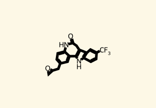 O=C1Cc2c([nH]c3ccc(C(F)(F)F)cc23)-c2cc(CC3CO3)ccc2N1